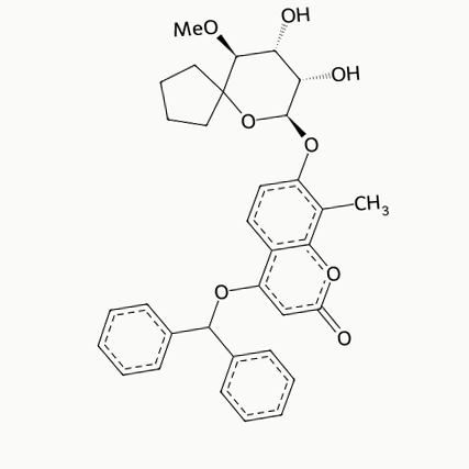 CO[C@H]1[C@H](O)[C@H](O)[C@@H](Oc2ccc3c(OC(c4ccccc4)c4ccccc4)cc(=O)oc3c2C)OC12CCCC2